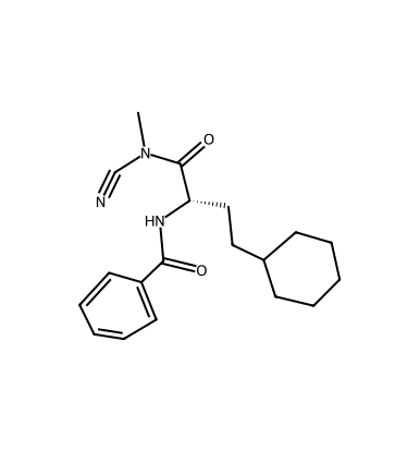 CN(C#N)C(=O)[C@H](CCC1CCCCC1)NC(=O)c1ccccc1